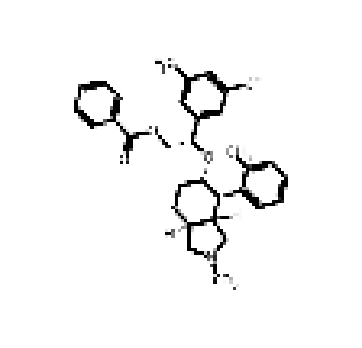 Cc1ccccc1[C@H]1[C@@H]2CN(C(=O)O)C[C@H]2CC[C@@H]1O[C@H](COC(=O)c1ccccc1)c1cc(C(F)(F)F)cc(C(F)(F)F)c1